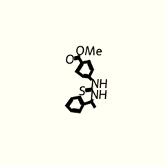 COC(=O)c1ccc(NC(=S)NC(C)c2ccccc2)cc1